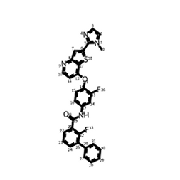 Cn1ccnc1-c1cc2nccc(Oc3ccc(NC(=O)c4cccc(-c5ccccc5)c4F)cc3F)c2s1